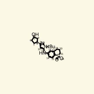 CC(C)(C)n1nc([C@H]2CC[C@@H](O)C2)cc1Nc1ccc2c(c1)CCCS2(=O)=O